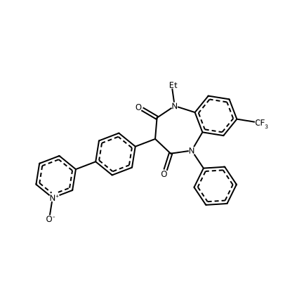 CCN1C(=O)C(c2ccc(-c3ccc[n+]([O-])c3)cc2)C(=O)N(c2ccccc2)c2cc(C(F)(F)F)ccc21